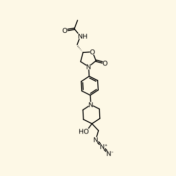 CC(=O)NC[C@H]1CN(c2ccc(N3CCC(O)(CN=[N+]=[N-])CC3)cc2)C(=O)O1